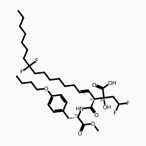 CCCCCCCC(F)(F)CCCCCC/C=C/[C@H](C(=O)N[C@@H](Cc1ccc(OCCCC)cc1)C(=O)OC)[C@@](O)(CC(F)F)C(=O)O